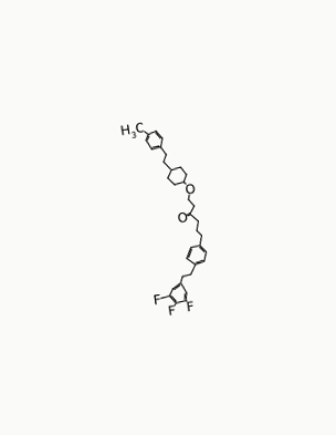 Cc1ccc(CCC2CCC(OCCC(=O)CCCc3ccc(CCc4cc(F)c(F)c(F)c4)cc3)CC2)cc1